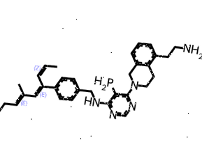 C\C=C/C(=C\C(C)=C\CC)c1ccc(CNc2ncnc(N3CCc4c(CCN)cccc4C3)c2P)cc1